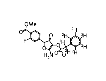 [2H]c1c([2H])c([2H])c(C([2H])([2H])S(=O)(=O)OC2=C(N)OC(c3ccc(C(=O)OC)c(F)c3)C2=O)c([2H])c1[2H]